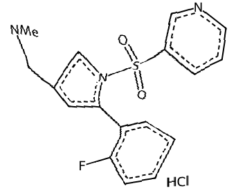 CNCc1cc(-c2ccccc2F)n(S(=O)(=O)c2cccnc2)c1.Cl